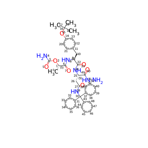 C[C@H](OC(N)=O)C(=O)N[C@@H](Cc1ccc(OC(C)(C)C)cc1)C(=O)N[C@@H](CC(=O)NC(c1ccccc1)(c1ccccc1)c1ccccc1)C(=O)NN